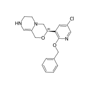 Clc1cnc(OCc2ccccc2)c([C@@H]2CN3CCNC=C3CO2)c1